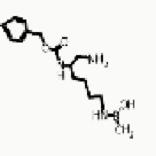 CB(O)NCCCCC(CN)NC(=O)OCc1ccccc1